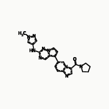 Cn1cc(Nc2ncc3c(-c4ccc5ncc(C(=O)N6CCCC6)n5c4)ccn3n2)cn1